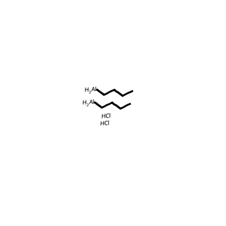 CCC[CH2][AlH2].CCC[CH2][AlH2].Cl.Cl